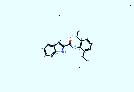 CCc1cccc(CC)c1NC(=O)c1cc2ccccc2[nH]1